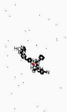 N#Cc1ccc(C[C@H](Nc2nc(NCc3ccccc3)nc(Nc3cccc(CN4CCN(C(=O)c5nccnc5O)CC4)c3)n2)C(=O)O)cc1